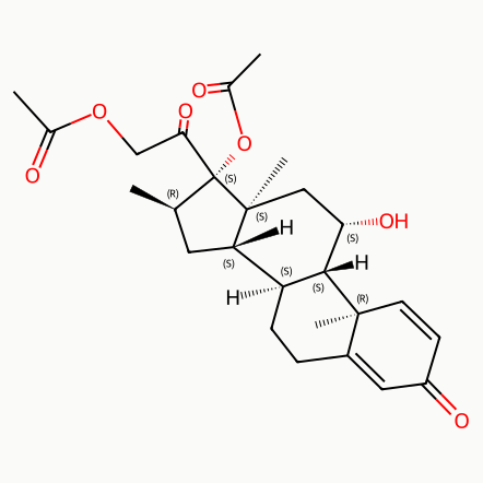 CC(=O)OCC(=O)[C@]1(OC(C)=O)[C@H](C)C[C@H]2[C@@H]3CCC4=CC(=O)C=C[C@]4(C)[C@H]3[C@@H](O)C[C@@]21C